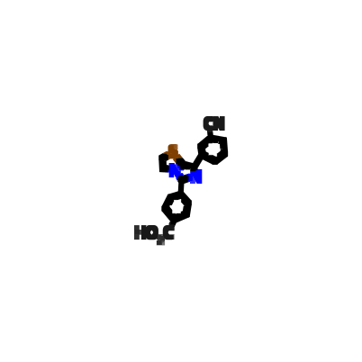 N#Cc1cccc(-c2nc(-c3ccc(C(=O)O)cc3)n3ccsc23)c1